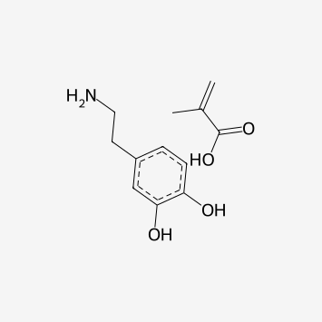 C=C(C)C(=O)O.NCCc1ccc(O)c(O)c1